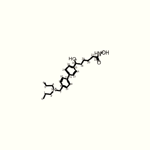 CCCN(CCC)Cc1ccc(-c2ccc(C(O)CCCCC(=O)NO)cc2)cc1